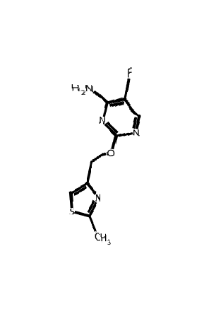 Cc1nc(COc2ncc(F)c(N)n2)cs1